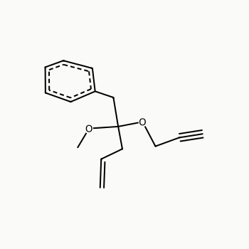 C#CCOC(CC=C)(Cc1ccccc1)OC